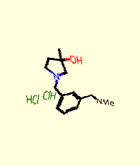 CNCc1cccc(CN2CCC(C)(O)C2)c1.Cl.Cl